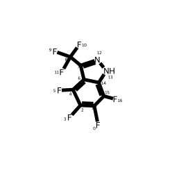 Fc1c(F)c(F)c2c(C(F)(F)F)n[nH]c2c1F